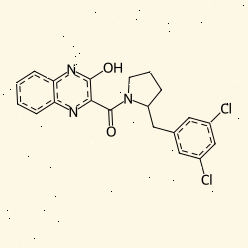 O=C(c1nc2ccccc2nc1O)N1CCCC1Cc1cc(Cl)cc(Cl)c1